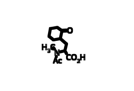 CC(=O)N(C)C(CC1CCCCC1=O)C(=O)O